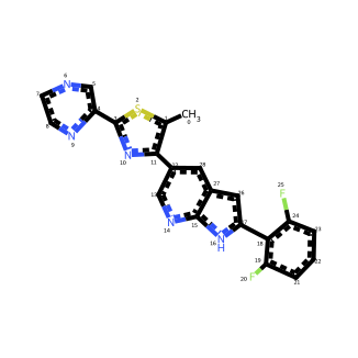 Cc1sc(-c2cnccn2)nc1-c1cnc2[nH]c(-c3c(F)cccc3F)cc2c1